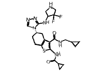 O=C(NCC1CC1)c1c(NC(=O)C2CC2)sc2c1C[C@@H](n1cnnc1NC1CNCC1(F)F)CC2